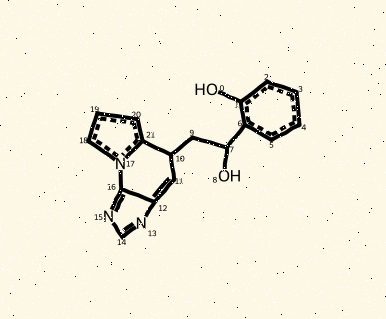 Oc1ccccc1C(O)CC1C=C2N=CN=C2n2cccc21